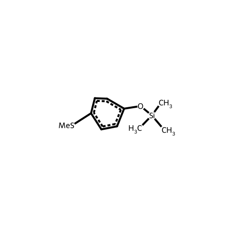 [CH2]Sc1ccc(O[Si](C)(C)C)cc1